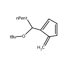 C=C1C=CC=C1C(CCCCC)OC(C)(C)C